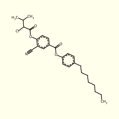 CCCCCCCCc1ccc(OC(=O)c2ccc(OC(=O)C(Cl)C(C)C)c(C#N)c2)cc1